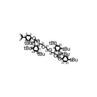 C=C(C)c1ccc(OP(OCCOCCOCCOP(Oc2ccc(C(C)(C)C)cc2C(C)(C)C)Oc2ccc(C(C)(C)C)cc2C(C)(C)C)Oc2ccc(C(C)(C)C)cc2C(C)(C)C)c(C(C)(C)C)c1